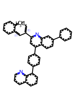 C=c1cccc/c1=C/C(=C\C)c1cc(-c2ccc(-c3cccc4cccnc34)cc2)c2ccc(-c3ccccc3)cc2n1